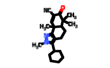 Cn1nc2c(c1C1CCCCC1)CCC1C(C)(C)C(=O)C(C#N)=CC21C